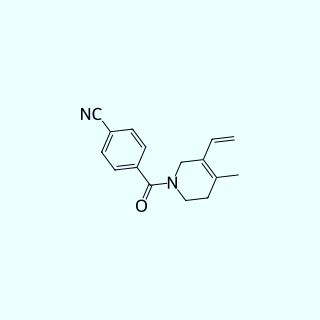 C=CC1=C(C)CCN(C(=O)c2ccc(C#N)cc2)C1